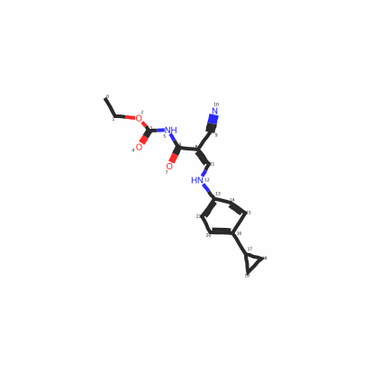 CCOC(=O)NC(=O)C(C#N)=CNc1ccc(C2CC2)cc1